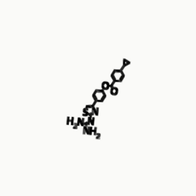 NC(N)=Nc1nc(-c2ccc(OC(=O)c3ccc(C4CC4)cc3)cc2)cs1